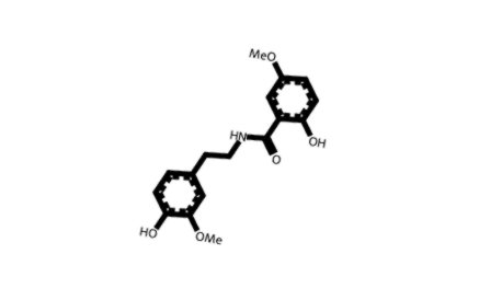 COc1ccc(O)c(C(=O)NCCc2ccc(O)c(OC)c2)c1